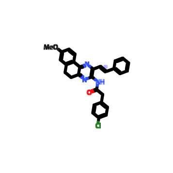 COc1ccc2c(c1)CCc1nc(NC(=O)Cc3ccc(Cl)cc3)c(/C=C/c3ccccc3)nc1-2